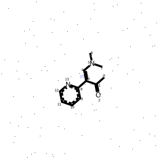 CC(=O)/C(=C\N(C)C)c1ccccn1